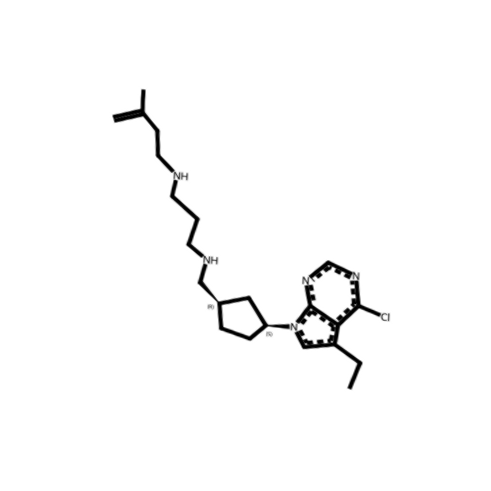 C=C(C)CCNCCCNC[C@@H]1CC[C@H](n2cc(CC)c3c(Cl)ncnc32)C1